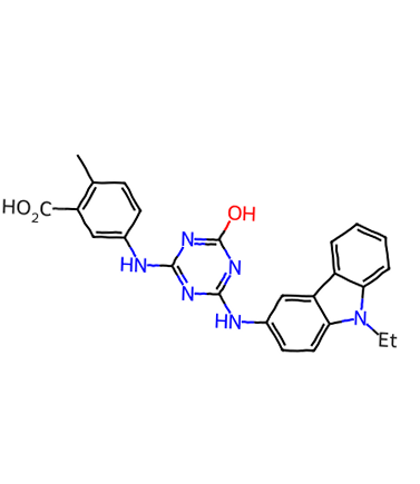 CCn1c2ccccc2c2cc(Nc3nc(O)nc(Nc4ccc(C)c(C(=O)O)c4)n3)ccc21